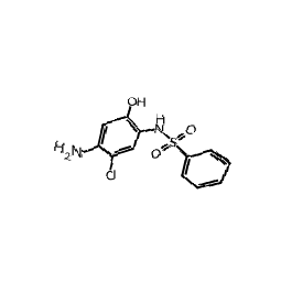 Nc1cc(O)c(NS(=O)(=O)c2ccccc2)cc1Cl